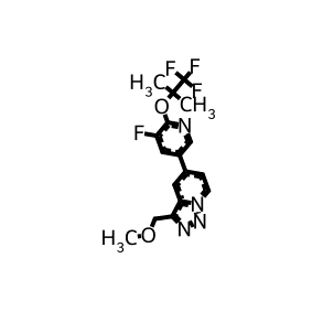 COCc1nnn2ccc(-c3cnc(OC(C)(C)C(F)(F)F)c(F)c3)cc12